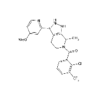 COc1ccnc(N2NNC3=C2CCN(C(=O)c2cccc(C(F)(F)F)c2Cl)C3C)c1